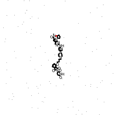 CN(C)C(=O)c1cc2cnc(Nc3ccc(N4CCN(CCCCOc5cccc6c5C(=O)N(C5CCC(=O)NC5=O)C6=O)CC4)cn3)nc2n1C1CCCC1